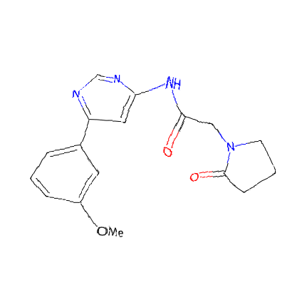 COc1cccc(-c2cc(NC(=O)CN3CCCC3=O)ncn2)c1